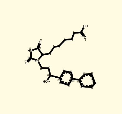 O=C(O)CCCCCCC1C(=O)NC(=O)N1CCC(O)c1ccc(-c2ccccc2)cc1